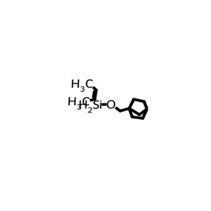 CC=C(C)[SiH2]OCC12CCC(CC1)C2